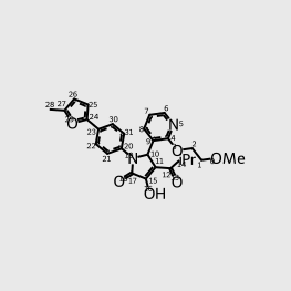 COCCOc1ncccc1C1C(C(=O)C(C)C)=C(O)C(=O)N1c1ccc(-c2ccc(C)o2)cc1